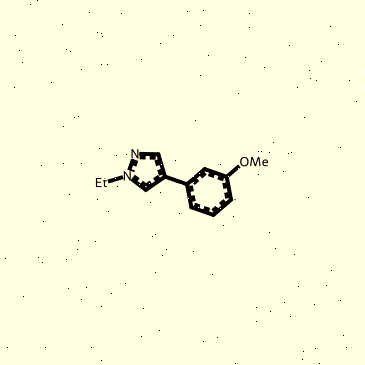 CCn1cc(-c2cc[c]c(OC)c2)cn1